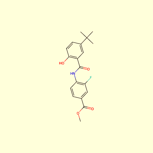 COC(=O)c1ccc(NC(=O)c2cc(C(C)(C)C)ccc2O)c(F)c1